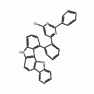 Clc1cc(-c2ccccc2-c2cccc3[nH]c4ccc5c6ccccc6oc5c4c23)nc(-c2ccccc2)n1